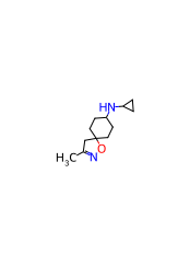 CC1=NOC2(CCC(NC3CC3)CC2)C1